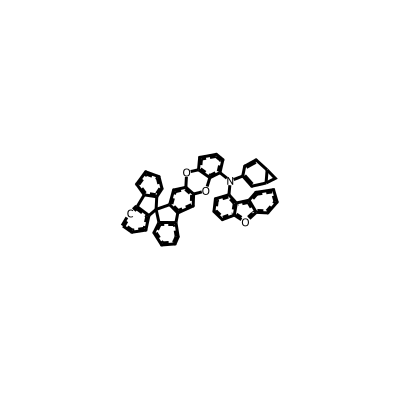 C1=CC2CC2C=C1N(c1cccc2c1Oc1cc3c(cc1O2)C1(c2ccccc2-c2ccccc21)c1ccccc1-3)c1cccc2oc3ccccc3c12